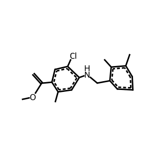 C=C(OC)c1cc(Cl)c(NCc2cccc(C)c2C)cc1C